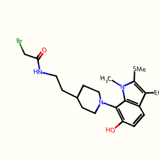 CCc1c(SC)n(C)c2c(N3CCC(CCNC(=O)CBr)CC3)c(O)ccc12